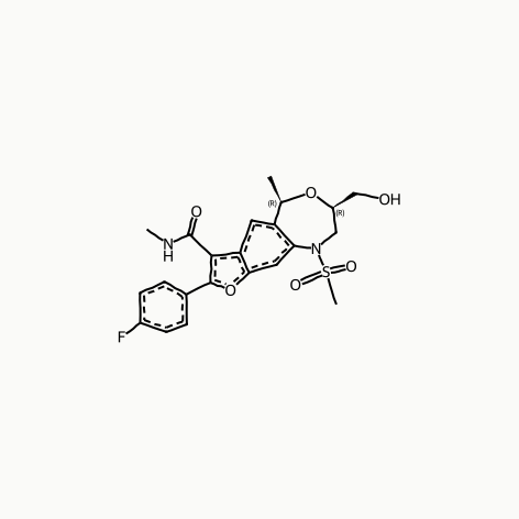 CNC(=O)c1c(-c2ccc(F)cc2)oc2cc3c(cc12)[C@@H](C)O[C@@H](CO)CN3S(C)(=O)=O